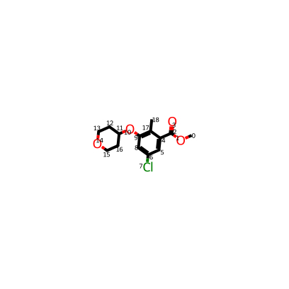 COC(=O)c1cc(Cl)cc(OC2CCOCC2)c1C